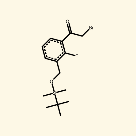 CC(C)(C)[Si](C)(C)OCc1cccc(C(=O)CBr)c1F